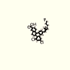 O=C(O)c1ccc2c(c1)CCC(c1ccc(Cl)cc1Cl)=C2c1ccc(C=C2CN(CCCF)C2)cc1